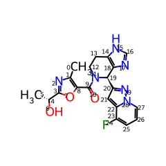 Cc1nc([C@@H](C)O)oc1C(=O)N1CCc2[nH]cnc2[C@H]1c1cc2c(F)cccn2n1